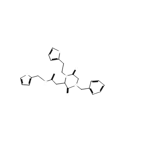 O=C(CC1C(=O)N(Cc2ccccc2)CC(=O)N1CCc1cccs1)NCc1cccs1